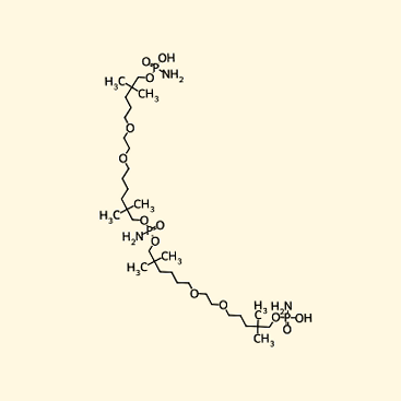 CC(C)(CCCOCCOCCCCC(C)(C)COP(N)(=O)OCC(C)(C)CCCCOCCOCCCC(C)(C)COP(N)(=O)O)COP(N)(=O)O